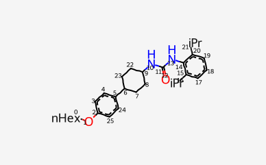 CCCCCCOc1ccc(C2CCC(NC(=O)Nc3c(C(C)C)cccc3C(C)C)CC2)cc1